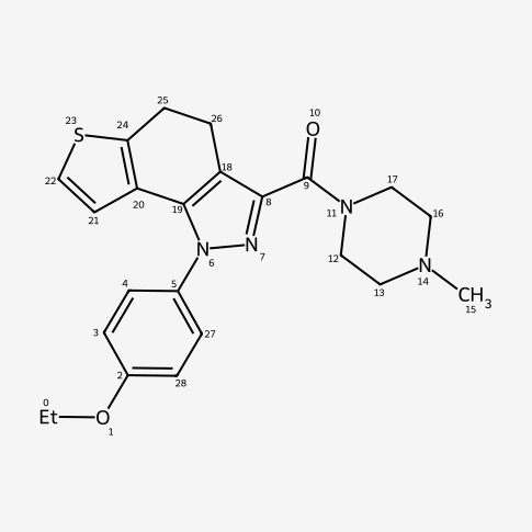 CCOc1ccc(-n2nc(C(=O)N3CCN(C)CC3)c3c2-c2ccsc2CC3)cc1